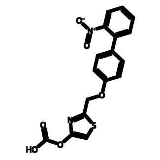 O=C(O)Oc1csc(COc2ccc(-c3ccccc3[N+](=O)[O-])cc2)n1